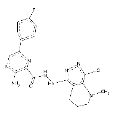 CN1CCCc2c(NNC(=O)c3nc(-c4ccc(F)cc4)cnc3N)nnc(Cl)c21